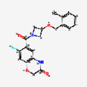 N#Cc1ccccc1COC1CN(C(=O)c2cc3c(cc2F)OCC(=O)N3)C1